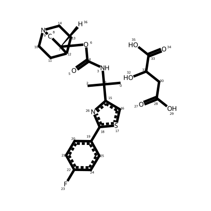 CC(C)(NC(=O)O[C@H]1CN2CCC1CC2)c1csc(-c2ccc(F)cc2)n1.O=C(O)CC(O)C(=O)O